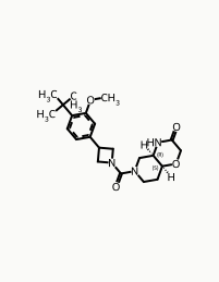 COc1cc(C2CN(C(=O)N3CC[C@@H]4OCC(=O)N[C@@H]4C3)C2)ccc1C(C)(C)C